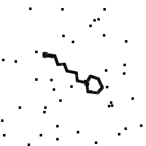 O=CCCCCCN1CCCCC1